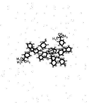 CC(C)(C)c1ccc(-n2c3ccccc3c3cc(N(c4ccc(F)cc4)c4cc5c(c6ccccc46)Oc4c(cc(N(c6ccc(F)cc6)c6ccc7c(c6)c6ccccc6n7-c6ccc(C(C)(C)C)cc6)c6ccccc46)C54C5CC6CC(C5)CC4C6)ccc32)cc1